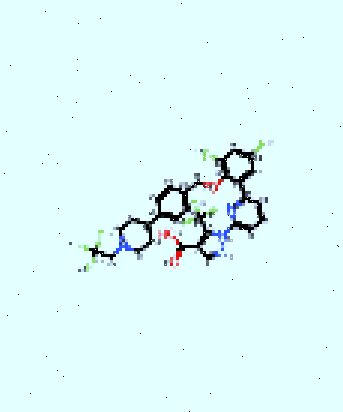 O=C(O)c1cnn(-c2cccc(-c3cc(F)cc(F)c3OCc3ccc(C4CCN(CC(F)(F)F)CC4)cc3)n2)c1C(F)(F)F